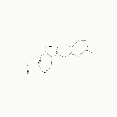 Cc1cnc(Cl)nc1Cc1c[nH]c2cc([N+](=O)[O-])ccc12